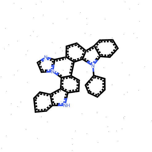 c1ccc(-n2c3ccccc3c3ccc4c(c5ccc6[nH]c7ccccc7c6c5n5ccnc45)c32)cc1